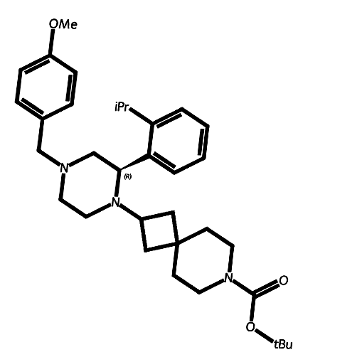 COc1ccc(CN2CCN(C3CC4(CCN(C(=O)OC(C)(C)C)CC4)C3)[C@H](c3ccccc3C(C)C)C2)cc1